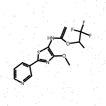 C=C(Nc1sc(-c2cccnc2)nc1OC)OC(C)C(F)(F)F